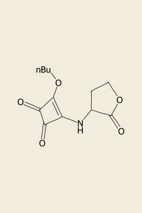 CCCCOc1c(NC2CCOC2=O)c(=O)c1=O